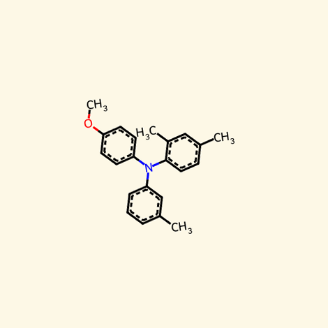 COc1ccc(N(c2cccc(C)c2)c2ccc(C)cc2C)cc1